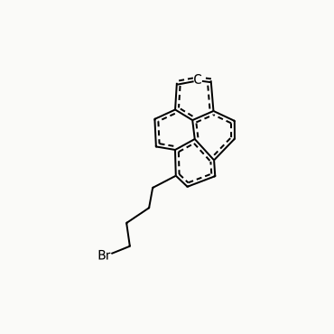 BrCCCCc1ccc2ccc3cccc4ccc1c2c34